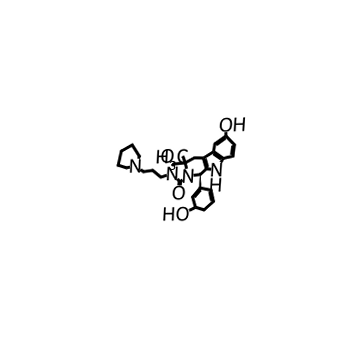 CC12Cc3c([nH]c4ccc(O)cc34)[C@@H](C3=CC(O)CC=C3)N1C(=O)N(CCCN1CCCCC1)C2=O